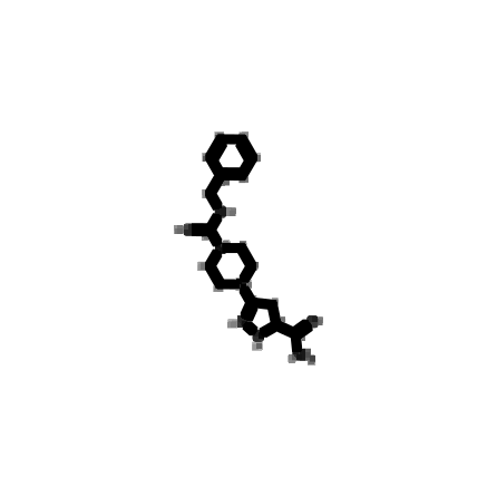 NC(=O)C1CC(N2CCN(C(=O)OCc3ccccc3)CC2)=NO1